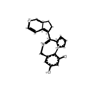 Clc1cc(Cl)c2c(c1)CN=C(C1=C3C=COC=C3CC1)c1cccn1-2